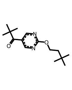 CC(C)(C)CCOc1ncc(C(=O)C(C)(C)C)cn1